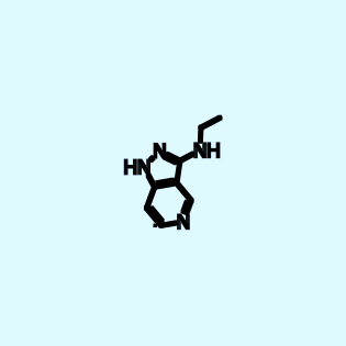 CCNc1n[nH]c2c[c]ncc12